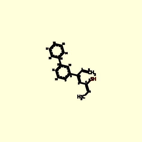 C=C/C(=C\C(S)=C/C)c1cccc(-c2ccccc2)c1